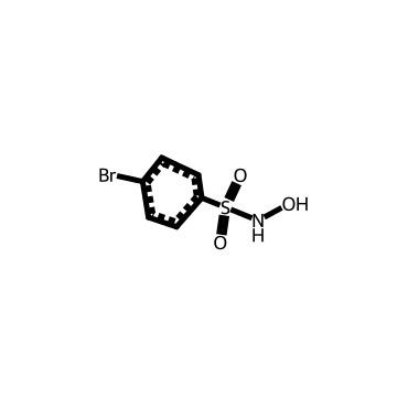 O=S(=O)(NO)c1ccc(Br)cc1